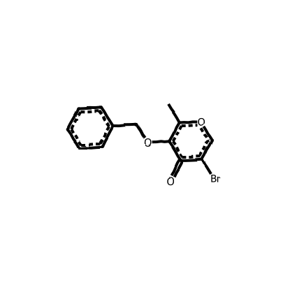 Cc1occ(Br)c(=O)c1OCc1ccccc1